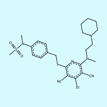 CCc1c(C#N)c(SCc2ccc(N(C)S(C)(=O)=O)cc2)nc(N(C)CCN2CCCCC2)c1C#N